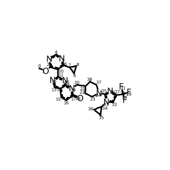 COc1ncnc(C2CC2)c1-c1ncc2ccc(=O)n(CC3CCN(c4nc(C(F)(F)F)cn4C4CC4)CC3)c2n1